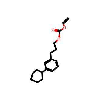 C=COC(=O)OCCCc1cccc(C2CCCCC2)c1